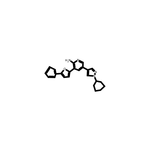 Nc1ncc(-c2cnn(C3CCCCC3)c2)cc1-c1ccc(-c2ccccc2)o1